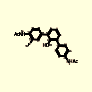 CC(=O)Nc1ccc(-c2cccc(-c3ccc(NC(C)=O)c(F)c3)c2O)cc1